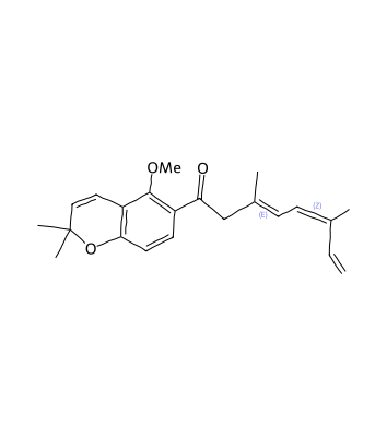 C=C/C(C)=C\C=C(/C)CC(=O)c1ccc2c(c1OC)C=CC(C)(C)O2